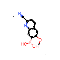 COc1cc2ccc(C#N)nc2cc1B(O)O